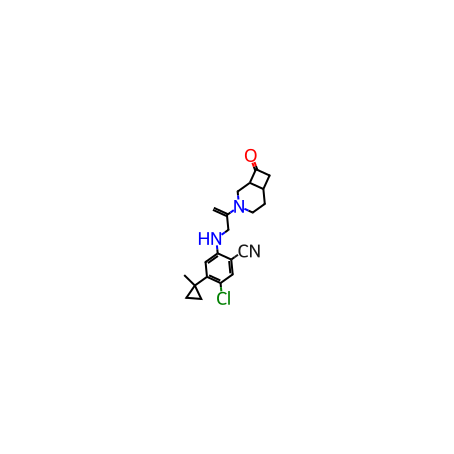 C=C(CNc1cc(C2(C)CC2)c(Cl)cc1C#N)N1CCC2CC(=O)C2C1